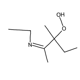 CCN=C(C)C(C)(CC)OO